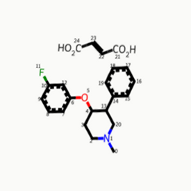 CN1CCC(Oc2cccc(F)c2)C(c2ccccc2)C1.O=C(O)C=CC(=O)O